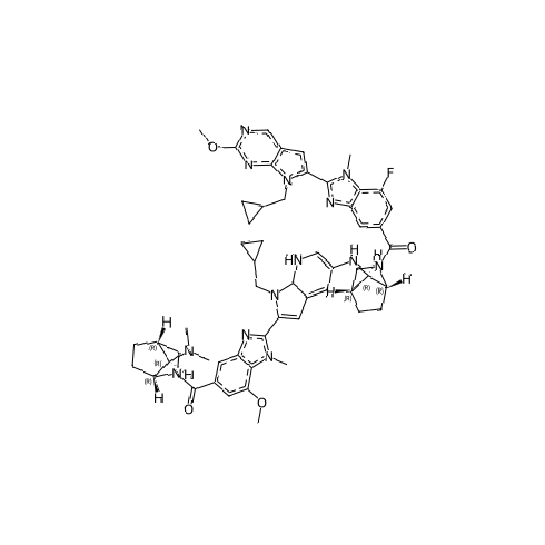 COc1ncc2cc(-c3nc4cc(C(=O)N5C[C@H]6CC[C@@H]5[C@@H]6NC5=CNC6C(=C5)C=C(c5nc7cc(C(=O)N8C[C@H]9CC[C@@H]8[C@@H]9N(C)C)cc(OC)c7n5C)N6CC5CC5)cc(F)c4n3C)n(CC3CC3)c2n1